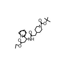 CCOC(=O)CC(NC(=O)CC1CCN(C(=O)OC(C)(C)C)CC1)c1ccccn1